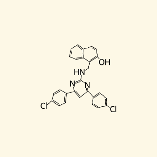 Oc1ccc2ccccc2c1CNc1nc(-c2ccc(Cl)cc2)cc(-c2ccc(Cl)cc2)n1